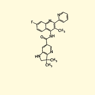 Cc1c(-c2ccccn2)nc2cc(F)ccc2c1NC(=O)c1cnc2c(c1)NCC2(C)C